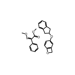 CON=C(C(=O)OC)c1ccccc1.c1ccc2c(c1)CC(Oc1ccc3c(c1)CO3)C2